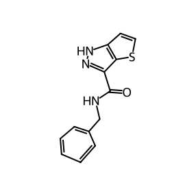 O=C(NCc1ccccc1)c1n[nH]c2ccsc12